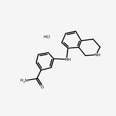 Cl.NC(=O)c1cccc(Nc2cccc3c2CNCC3)c1